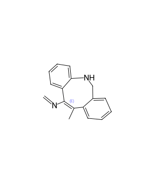 C=N/C1=C(\C)c2ccccc2CNc2ccccc21